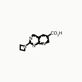 O=C(O)c1cnc2nc(N3CCC3)ncc2c1